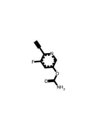 C#Cc1ncc(OC(N)=O)cc1F